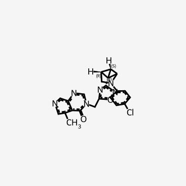 Cc1cncc2ncn(Cc3nc([C@@]45C6[C@H]4[C@H]5CN6c4ccc(Cl)cc4)no3)c(=O)c12